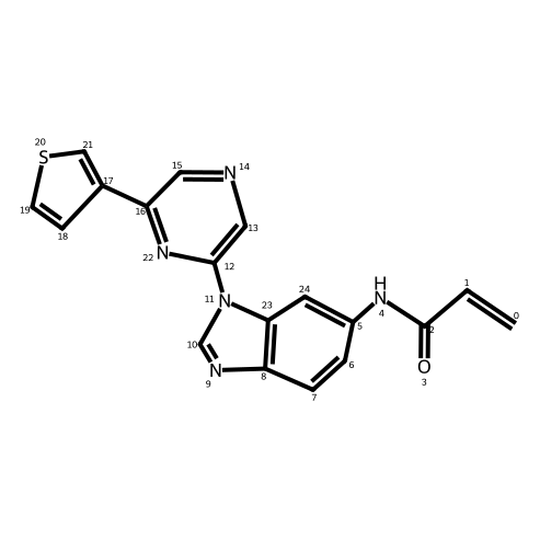 C=CC(=O)Nc1ccc2ncn(-c3cncc(-c4ccsc4)n3)c2c1